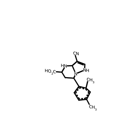 Cc1ccc(C2CC(C(=O)O)NC3C(C#N)=CNN32)c(C)c1